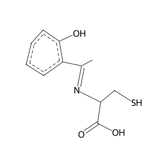 C/C(=N\C(CS)C(=O)O)c1ccccc1O